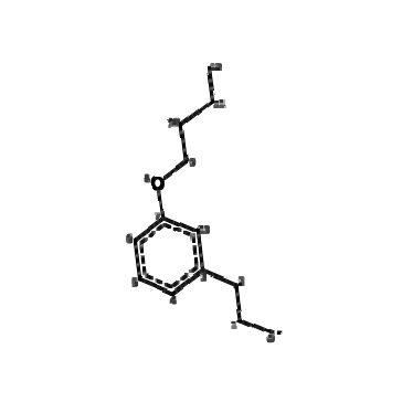 [CH2]CCc1cccc(OCCCC)c1